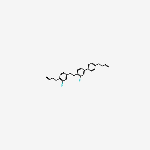 C=CCCc1ccc(-c2ccc(CCc3ccc(CCC=C)c(F)c3)c(F)c2)cc1